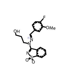 COc1cc(/C=N/N(CCCO)C2=NS(=O)(=O)c3ccccc32)ccc1F